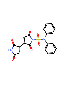 O=C1C=C(C2=CC(=O)N(S(=O)(=O)N(c3ccccc3)c3ccccc3)C2=O)C(=O)N1